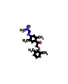 CCN(C)C=Nc1cc(C)c(C(=O)CSc2c(C)cccc2C)cc1C